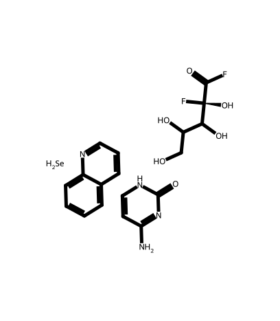 Nc1cc[nH]c(=O)n1.O=C(F)[C@@](O)(F)C(O)C(O)CO.[SeH2].c1ccc2ncccc2c1